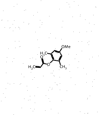 C=CC(=O)Oc1c(C)cc(OC)cc1C